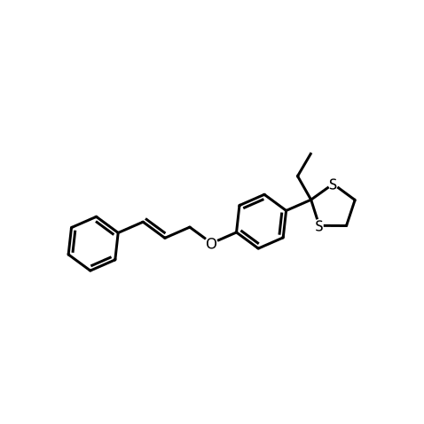 CCC1(c2ccc(OC/C=C/c3ccccc3)cc2)SCCS1